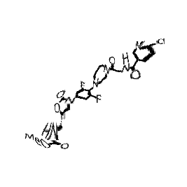 COC(=O)NC[C@H]1CN(c2cc(F)c(N3CCN(C(=O)CNC(=O)c4ccc(Cl)nc4)CC3)c(F)c2)C(=O)O1